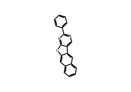 c1ccc(-c2ncc3c(n2)oc2cc4ccccc4cc23)cc1